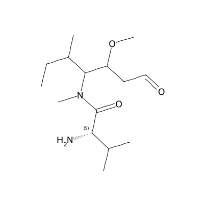 CCC(C)C(C(CC=O)OC)N(C)C(=O)[C@@H](N)C(C)C